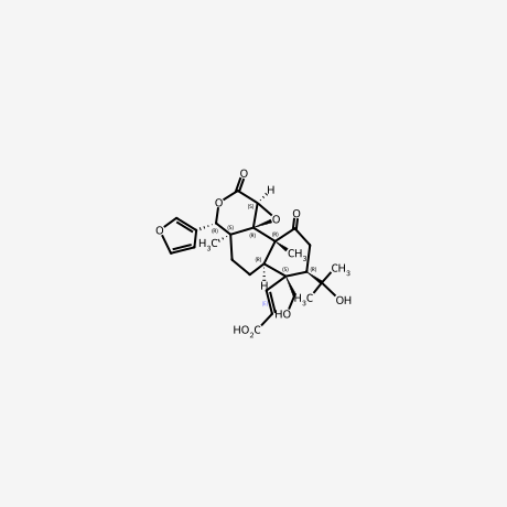 CC(C)(O)[C@@H]1CC(=O)[C@]2(C)[C@H](CC[C@@]3(C)[C@H](c4ccoc4)OC(=O)[C@H]4O[C@]432)[C@]1(/C=C/C(=O)O)CO